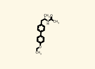 CCOc1ccc(-c2ccc(C[C@H](C)NC(C)=O)cc2)cc1